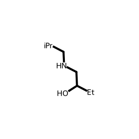 CCC(O)CNCC(C)C